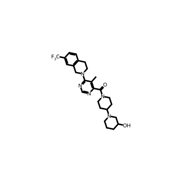 Cc1c(C(=O)N2CCC(N3CCCC(O)C3)CC2)ncnc1N1CCc2ccc(C(F)(F)F)cc2C1